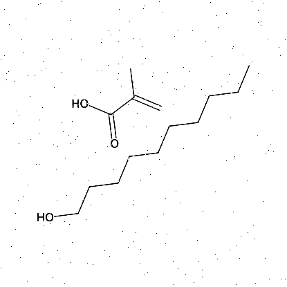 C=C(C)C(=O)O.CCCCCCCCCCO